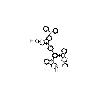 CCCN1CCC2c3ccccc3N(c3cc(-c4ccc(N5c6ccc(N(c7ccccc7)c7ccccc7)cc6C6CN(C)CCC65)cc4)cc(N4c5ccccc5C5CCNCC54)c3)C2C1